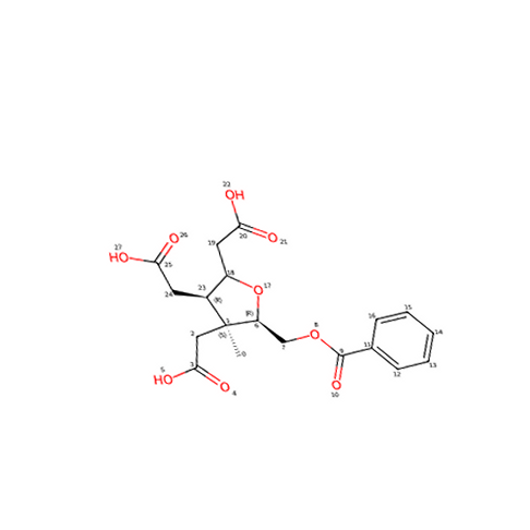 C[C@@]1(CC(=O)O)[C@H](COC(=O)c2ccccc2)OC(CC(=O)O)[C@@H]1CC(=O)O